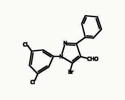 O=Cc1c(-c2ccccc2)nn(-c2cc(Cl)cc(Cl)c2)c1Br